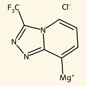 FC(F)(F)c1nnc2[c]([Mg+])cccn12.[Cl-]